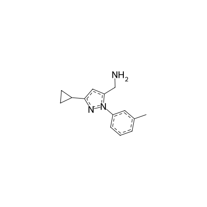 Cc1cccc(-n2nc(C3CC3)cc2CN)c1